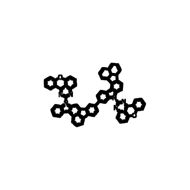 C1=CC2=CC=CC3c4ccc5c(c4C(=C1)C23)c1ccc(-c2ccc3c(c2)-c2cc4c(c6cccc-3c26)c2ccccc2n4-c2nc3c4c(cccc4n2)Oc2ccccc2-3)cc1n5-c1nc2c3c(cccc3n1)Oc1ccccc1-2